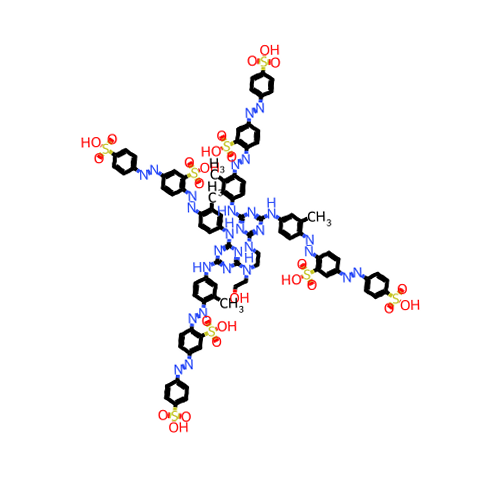 Cc1cc(Nc2nc(NCCN(CCO)c3nc(Nc4ccc(N=Nc5ccc(N=Nc6ccc(S(=O)(=O)O)cc6)cc5S(=O)(=O)O)c(C)c4)nc(Nc4ccc(N=Nc5ccc(N=Nc6ccc(S(=O)(=O)O)cc6)cc5S(=O)(=O)O)c(C)c4)n3)nc(Nc3ccc(N=Nc4ccc(N=Nc5ccc(S(=O)(=O)O)cc5)cc4S(=O)(=O)O)c(C)c3)n2)ccc1N=Nc1ccc(N=Nc2ccc(S(=O)(=O)O)cc2)cc1S(=O)(=O)O